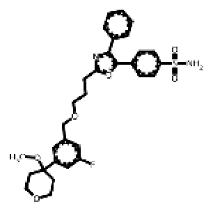 COC1(c2cc(F)cc(COCCCc3nc(-c4ccccc4)c(-c4ccc(S(N)(=O)=O)cc4)o3)c2)CCOCC1